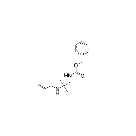 C=CCNC(C)(C)CNC(=O)OCc1ccccc1